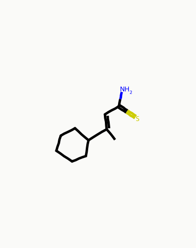 CC(=CC(N)=S)C1CCCCC1